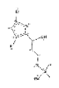 CC(C)(C)[Si](C)(C)OCCC(O)c1nc(Br)sc1Br